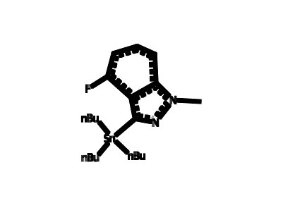 CCC[CH2][Sn]([CH2]CCC)([CH2]CCC)[c]1nn(C)c2cccc(F)c12